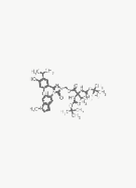 CC(C)c1cc(-c2nn(COC(=O)C(NC(=O)OC(C)(C)C)(NC(=O)OC(C)(C)C)C(C)C)c(=O)n2-c2ccc3c(ccn3C)c2)c(O)cc1O